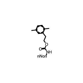 CCCCCCCCCNC(=O)OCCc1cc(C)ccc1C